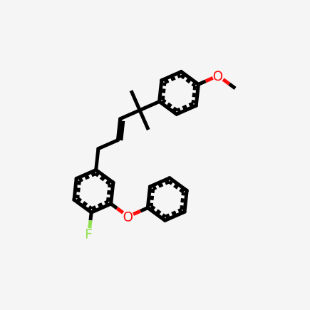 COc1ccc(C(C)(C)C=CCc2ccc(F)c(Oc3ccccc3)c2)cc1